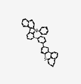 c1ccc(-n2c3ccc4ccccc4c3c3cccc(-c4cccc(-c5ccc6c(c5)-c5cccc7cccc(c57)S6)c4)c32)cc1